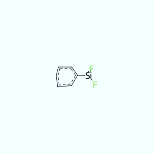 F[Si](F)c1ccccc1